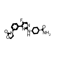 NC(=O)[C@H]1CC[C@H](Nc2ncc(F)c(-c3cccc(N4CCOC4=O)c3)n2)CC1